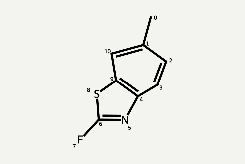 Cc1ccc2nc(F)sc2c1